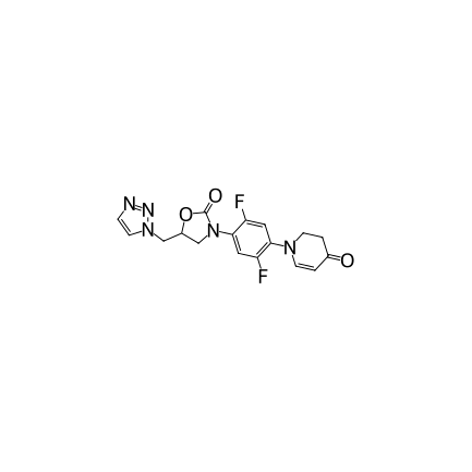 O=C1C=CN(c2cc(F)c(N3CC(Cn4ccnn4)OC3=O)cc2F)CC1